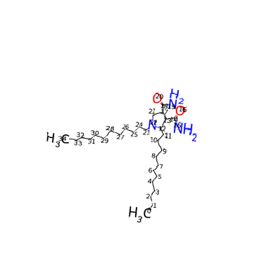 CCCCCCCCCCCCC1C(C(N)=O)C(C(N)=O)CN1CCCCCCCCCCCC